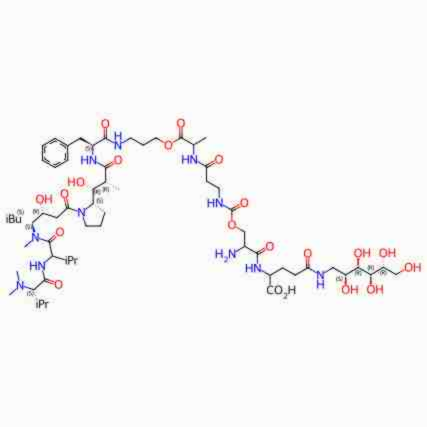 CC[C@H](C)[C@@H]([C@H](O)CC(=O)N1CCC[C@H]1[C@H](O)[C@@H](C)C(=O)N[C@@H](Cc1ccccc1)C(=O)NCCCOC(=O)C(C)NC(=O)CCNC(=O)OCC(N)C(=O)NC(CCC(=O)NC[C@H](O)[C@@H](O)[C@H](O)[C@H](O)CO)C(=O)O)N(C)C(=O)C(NC(=O)[C@H](C(C)C)N(C)C)C(C)C